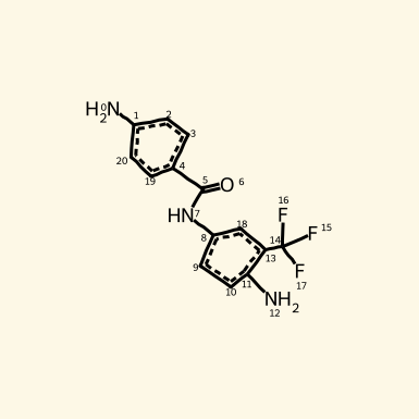 Nc1ccc(C(=O)Nc2ccc(N)c(C(F)(F)F)c2)cc1